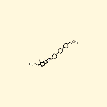 CCCC1CCC(C2CCC(C3CCC(/C=C/c4cc5ccc(OCC)c(F)c5s4)CC3)CC2)CC1